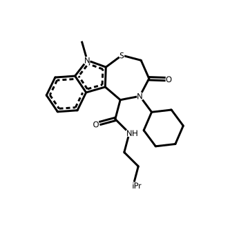 CC(C)CCNC(=O)C1c2c(n(C)c3ccccc23)SCC(=O)N1C1CCCCC1